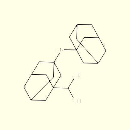 CC(C)C12CC3CC(CC(NC45CC6CC(CC(C6)C4)C5)(C3)C1)C2